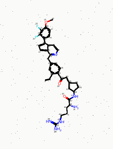 CCc1cc(CC2=NC=CC3C2=CC=C3c2ccc(OC)c(F)c2F)ccc1C(=O)CC1CCC(NC(=O)[C@@H](N)CCCNC(=N)N)C1